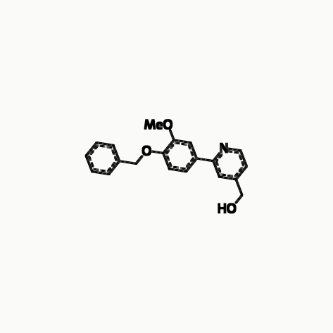 COc1cc(-c2cc(CO)ccn2)ccc1OCc1ccccc1